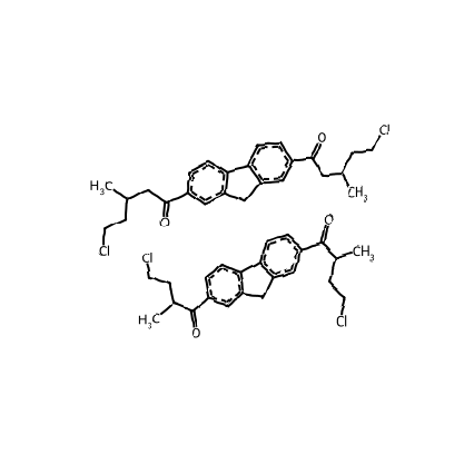 CC(CCCl)C(=O)c1ccc2c(c1)Cc1cc(C(=O)C(C)CCCl)ccc1-2.CC(CCCl)CC(=O)c1ccc2c(c1)Cc1cc(C(=O)CC(C)CCCl)ccc1-2